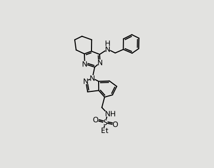 CCS(=O)(=O)NCc1cccc2c1cnn2-c1nc2c(c(NCc3ccccc3)n1)CCCC2